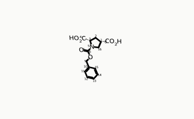 O=C(O)[C@H]1C[C@@H](C(=O)O)N(C(=O)OCc2ccccc2)C1